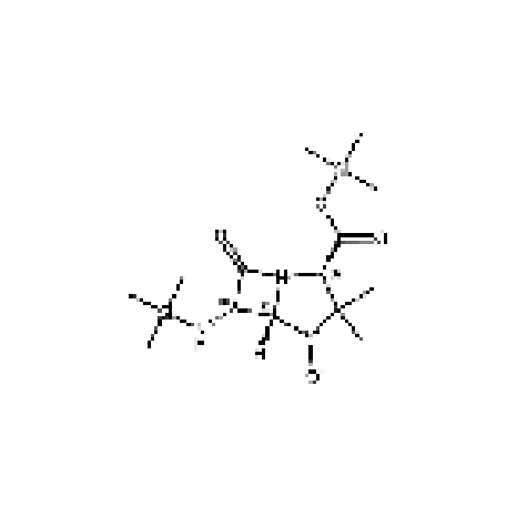 CC1(C)[C@H](C(=O)O[Si](C)(C)C)N2C(=O)[C@@H](N[Si](C)(C)C)[C@H]2[S+]1[O-]